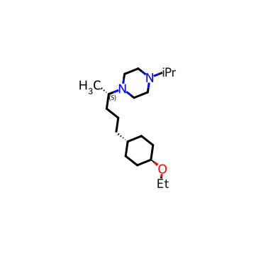 CCO[C@H]1CC[C@H](CCC[C@H](C)N2CCN(C(C)C)CC2)CC1